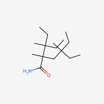 CCC(C)(CC)CC(C)(C(N)=O)C(C)(CC)CC